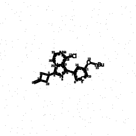 C=C1CC(c2nc(-c3cccc(OCCCC)c3)c3c(Cl)nccn23)C1